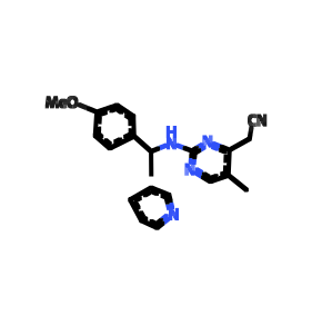 COc1ccc(C(C)Nc2ncc(C)c(CC#N)n2)cc1.c1ccncc1